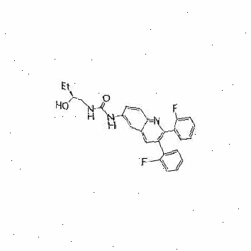 CC[C@H](O)CNC(=O)Nc1ccc2nc(-c3ccccc3F)c(-c3ccccc3F)cc2c1